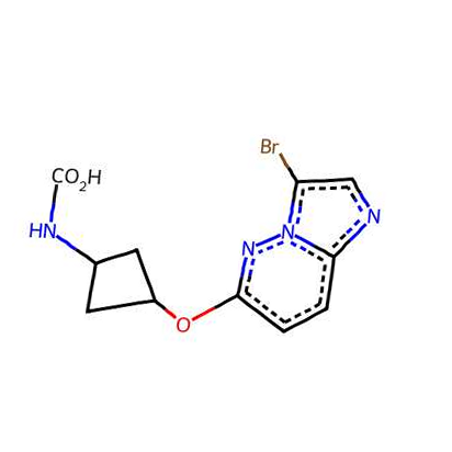 O=C(O)NC1CC(Oc2ccc3ncc(Br)n3n2)C1